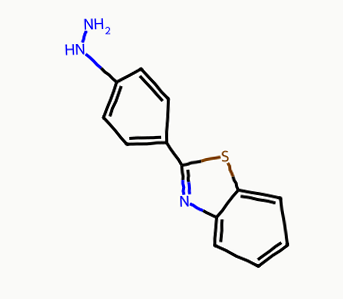 NNc1ccc(-c2nc3ccccc3s2)cc1